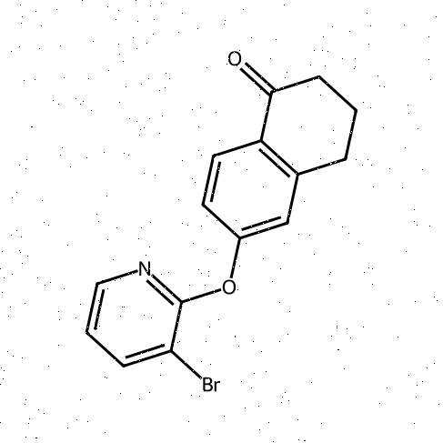 O=C1CCCc2cc(Oc3ncccc3Br)ccc21